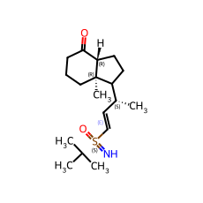 C[C@H](/C=C/[S@](=N)(=O)C(C)(C)C)C1CC[C@H]2C(=O)CCC[C@]12C